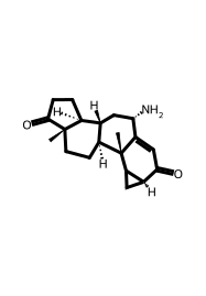 C[C@]12CC[C@H]3[C@@H](C[C@H](N)C4=CC(=O)[C@H]5CC5[C@@]43C)[C@@H]1CCC2=O